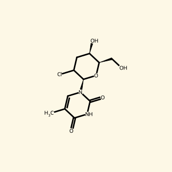 Cc1cn([C@@H]2O[C@H](CO)[C@H](O)CC2Cl)c(=O)[nH]c1=O